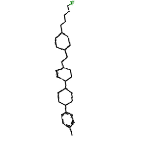 Cc1ccc(C2CCC(C3CCC(CCC4CCC(CCCCCF)CC4)CC3)CC2)cc1